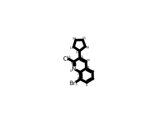 Clc1nc2c(Br)cccc2cc1C1CCCC1